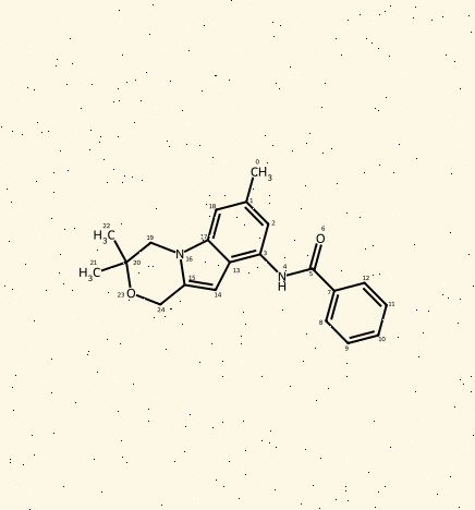 Cc1cc(NC(=O)c2ccccc2)c2cc3n(c2c1)CC(C)(C)OC3